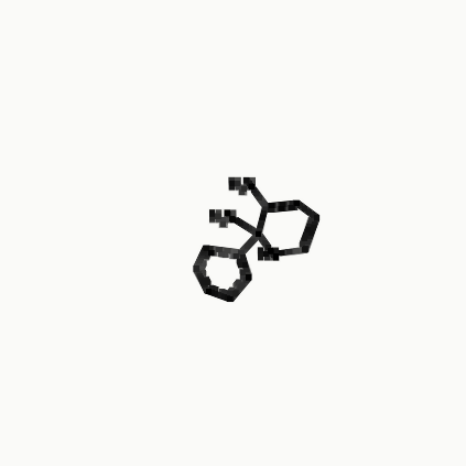 NC1=CC=CNC1(N)c1ccccc1